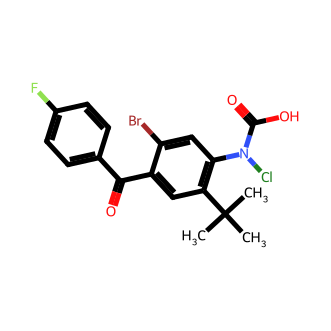 CC(C)(C)c1cc(C(=O)c2ccc(F)cc2)c(Br)cc1N(Cl)C(=O)O